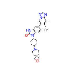 Cc1c(-c2cc3[nH]c(=O)n(C4CCC(N5CCC6(CC5)COC6)CC4)c3cc2C(C)C)cn2ncnc2c1C